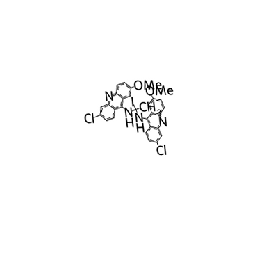 COc1ccc2nc3cc(Cl)ccc3c(NC(C)(I)Nc3c4ccc(Cl)cc4nc4ccc(OC)cc34)c2c1